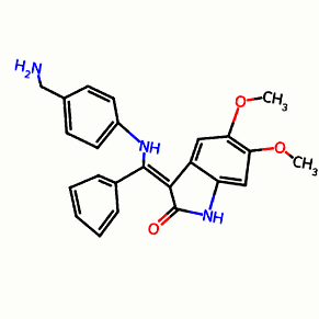 COc1cc2c(cc1OC)C(=C(Nc1ccc(CN)cc1)c1ccccc1)C(=O)N2